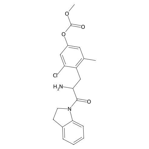 COC(=O)Oc1cc(C)c(CC(N)C(=O)N2CCc3ccccc32)c(Cl)c1